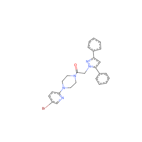 O=C(Cn1nc(-c2ccccc2)cc1-c1ccccc1)N1CCN(c2ccc(Br)cn2)CC1